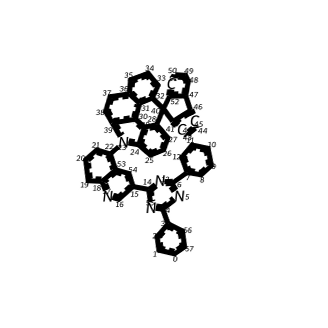 c1ccc(-c2nc(-c3ccccc3)nc(-c3cnc4cccc(-n5c6cccc7c6c6c8c(cccc8ccc65)C75c6ccccc6-c6ccccc65)c4c3)n2)cc1